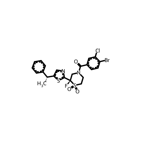 C[C@H](c1ccccc1)c1cnc([C@]2(F)CN(C(=O)c3ccc(Br)c(Cl)c3)CCS2(=O)=O)s1